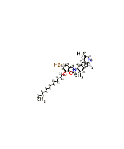 Br.CCCCCCCCCCCCCCOc1cccc(CN(C(C)=O)c2cccc(CC3(C)C=C(C)C=NC3)c2)c1